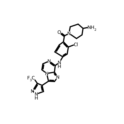 NC1CCN(C(=O)c2ccc(Nc3nccn4c(-c5c[nH]nc5C(F)(F)F)cnc34)cc2Cl)CC1